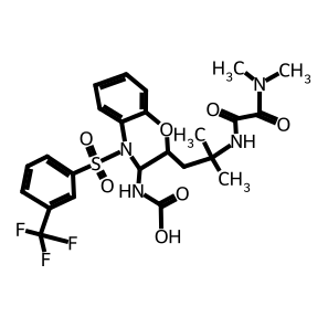 CN(C)C(=O)C(=O)NC(C)(C)CC1Oc2ccccc2N(S(=O)(=O)c2cccc(C(F)(F)F)c2)C1NC(=O)O